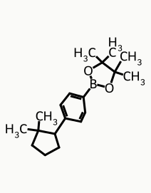 CC1(C)CCCC1c1ccc(B2OC(C)(C)C(C)(C)O2)cc1